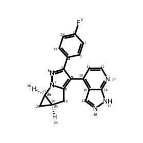 Fc1ccc(-c2nn3c(c2-c2ccnc4[nH]ncc24)C[C@H]2C[C@H]23)cc1